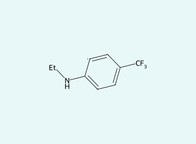 CCNc1[c]cc(C(F)(F)F)cc1